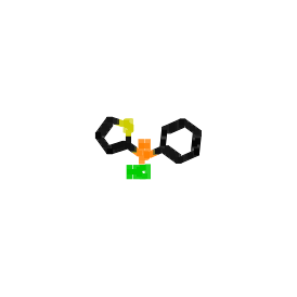 Cl.c1ccc(Pc2cccs2)cc1